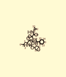 CC(C)CC(NC(O)O[C@H]1CCOC1)C(=O)N[C@@H](CCc1ccccc1)C(=O)C(=O)NC1CC1